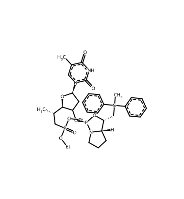 CCOP(=O)(C[C@H](C)[C@H]1O[C@@H](n2cc(C)c(=O)[nH]c2=O)CC1O[P@@]1O[C@H](C[Si](C)(c2ccccc2)c2ccccc2)[C@@H]2CCCN21)OCC